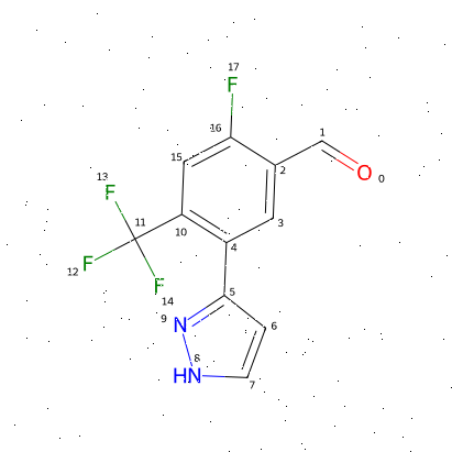 O=Cc1cc(-c2cc[nH]n2)c(C(F)(F)F)cc1F